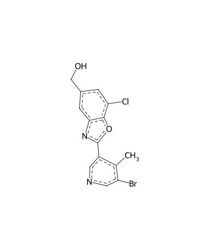 Cc1c(Br)cncc1-c1nc2cc(CO)cc(Cl)c2o1